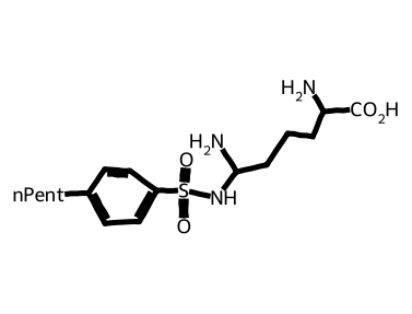 CCCCCc1ccc(S(=O)(=O)NC(N)CCCC(N)C(=O)O)cc1